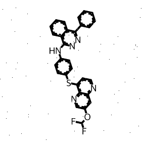 FC(F)Oc1cnc2c(Sc3ccc(Nc4nnc(-c5ccccc5)c5ccccc45)cc3)ccnc2c1